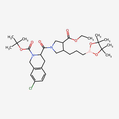 CCOC(=O)C1CN(C(=O)C2Cc3ccc(Cl)cc3CN2C(=O)OC(C)(C)C)CC1CCCB1OC(C)(C)C(C)(C)O1